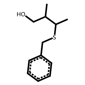 CC(CO)C(C)SCc1ccccc1